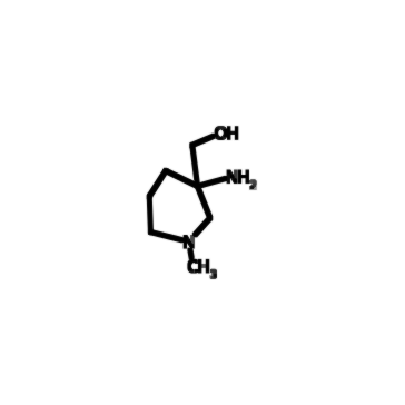 CN1CCCC(N)(CO)C1